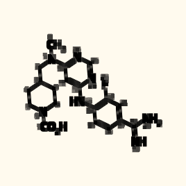 CN(CC1CCN(C(=O)O)CC1)c1cc(Nc2ccc(C(=N)N)cc2F)ncn1